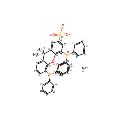 CC1(C)c2cccc(P(c3ccccc3)c3ccccc3)c2Oc2c(P(c3ccccc3)c3ccccc3)cc(S(=O)(=O)[O-])cc21.[Na+]